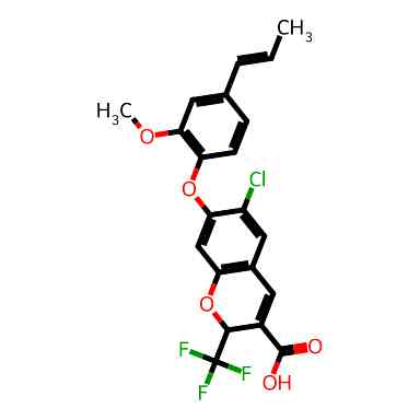 CC=Cc1ccc(Oc2cc3c(cc2Cl)C=C(C(=O)O)C(C(F)(F)F)O3)c(OC)c1